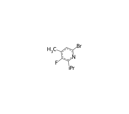 Cc1cc(Br)nc(C(C)C)c1F